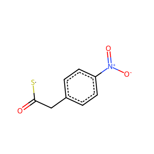 O=C([S])Cc1ccc([N+](=O)[O-])cc1